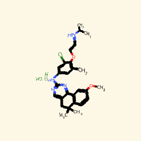 COc1ccc2c(c1)-c1nc(Nc3cc(C)c(OCCNC(C)C)c(Cl)c3)ncc1CC2(C)C.Cl.Cl